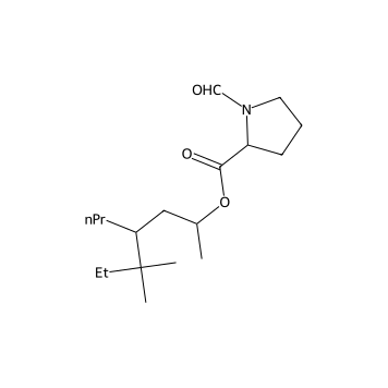 CCCC(CC(C)OC(=O)C1CCCN1C=O)C(C)(C)CC